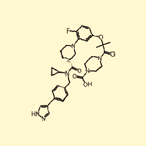 CC(C)(Oc1ccc(F)c(N2CCC[C@@H](C(=O)N(Cc3ccc(-c4cn[nH]c4)cc3)C3CC3)C2)c1)C(=O)N1CCN(C(=O)O)CC1